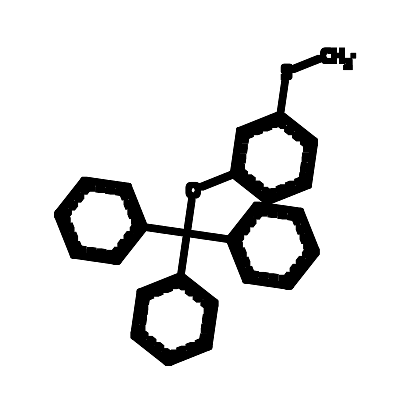 [CH2]Sc1cccc(OC(c2ccccc2)(c2ccccc2)c2ccccc2)c1